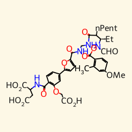 CCCCCC(C(=O)NCNC(=O)c1ccc(-c2ccc(C(=O)NC(CC(=O)O)C(=O)O)c(OCC(=O)O)c2)o1)[C@@H](CC)N(C=O)OC(=O)c1ccc(OC)cc1C